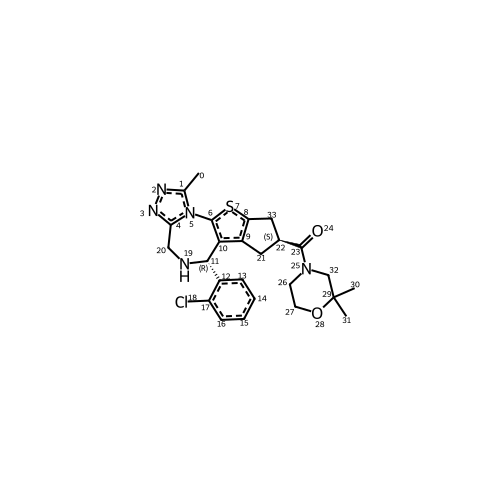 Cc1nnc2n1-c1sc3c(c1[C@H](c1ccccc1Cl)NC2)C[C@H](C(=O)N1CCOC(C)(C)C1)C3